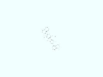 [Cl-].[Cl-].[Hf+2][c]1c(-c2cccc3ccccc23)ccc2c1Cc1cc(-c3cccc4ccccc34)ccc1-2